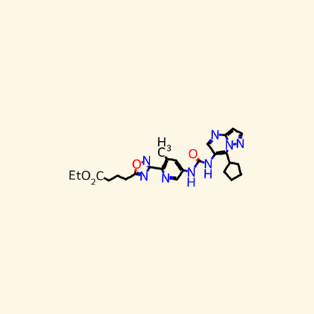 CCOC(=O)CCCc1nc(-c2ncc(NC(=O)Nc3cnc4ccnn4c3C3CCCC3)cc2C)no1